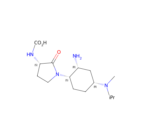 CC(C)N(C)[C@@H]1CC[C@H](N2CC[C@H](NC(=O)O)C2=O)[C@H](N)C1